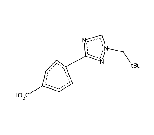 CC(C)(C)Cn1cnc(-c2ccc(C(=O)O)cc2)n1